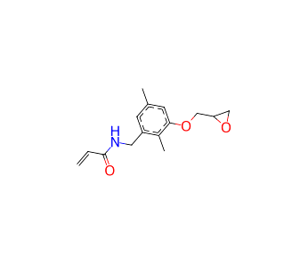 C=CC(=O)NCc1cc(C)cc(OCC2CO2)c1C